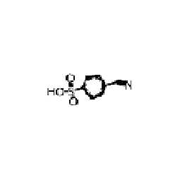 N#Cc1ccc(S(=O)(=O)O)cc1